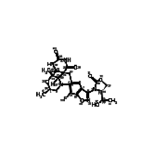 C[C@@H]1CN2c3c(cc4c(N5C(=O)OC[C@@H]5[C@@H](C)O)noc4c3F)CC3(C(=O)NC(=O)NC3=O)[C@H]2[C@H](C)O1